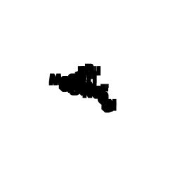 CCCCc1ccc(N(C(=O)Oc2c(C)cccc2C)c2ccnc(Nc3ccc(OCC4CCCN(C)C4)c(F)c3)n2)c(OC)c1